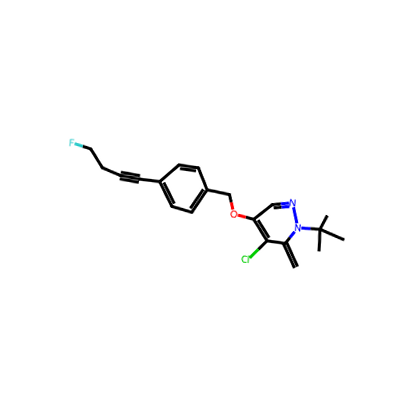 C=C1C(Cl)=C(OCc2ccc(C#CCCF)cc2)C=NN1C(C)(C)C